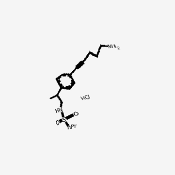 CCCS(=O)(=O)NCC(C)c1ccc(C#CCCCN)cc1.Cl